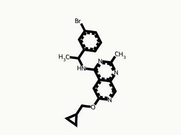 Cc1nc(NC(C)c2cccc(Br)c2)c2cc(OCC3CC3)ncc2n1